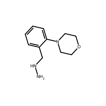 NNCc1ccccc1N1CCOCC1